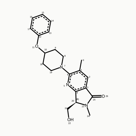 Cc1cc2c(nc1N1CCC(Oc3ccccc3)CC1)[C@H](CO)N(C)C2=O